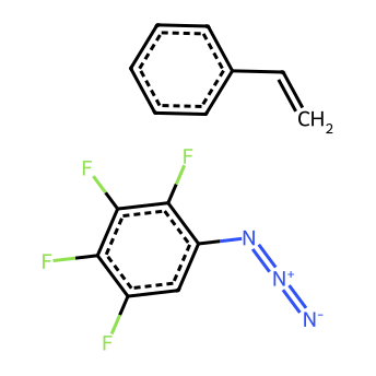 C=Cc1ccccc1.[N-]=[N+]=Nc1cc(F)c(F)c(F)c1F